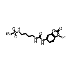 CC(C)n1c(=O)oc2cc(NC(=O)NCCCCNS(=O)(=O)C(C)(C)C)ccc21